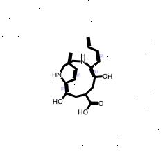 C=C/C=C\C1=C(\O)CC(C(=O)O)C/C(O)=C(/C=C\C=C)NCCN1